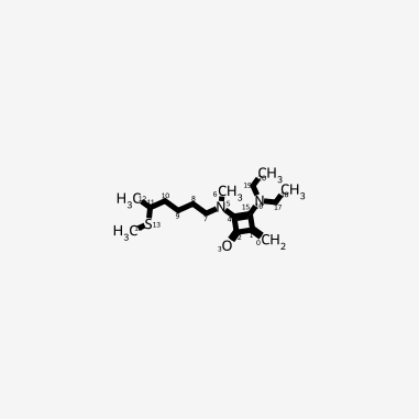 C=C1C(=O)C(N(C)CCCCC(C)SC)=C1N(CC)CC